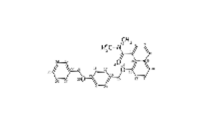 CN(C)C(=O)c1cccc2cccc(OCc3ccc(OCc4ccccc4)cc3)c12